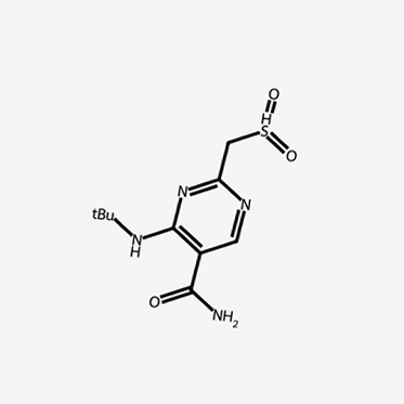 CC(C)(C)Nc1nc(C[SH](=O)=O)ncc1C(N)=O